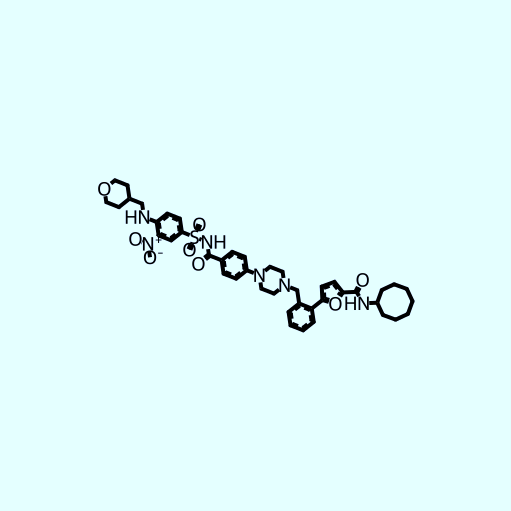 O=C(NS(=O)(=O)c1ccc(NCC2CCOCC2)c([N+](=O)[O-])c1)c1ccc(N2CCN(Cc3ccccc3-c3ccc(C(=O)NC4CCCCCCC4)o3)CC2)cc1